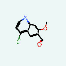 COc1cc2nccc(Cl)c2cc1C=O